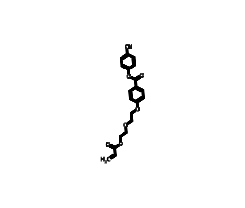 C=CC(=O)OCCOCCOc1ccc(C(=O)Oc2ccc(C#N)cc2)cc1